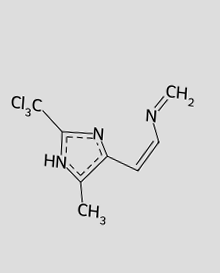 C=N/C=C\c1nc(C(Cl)(Cl)Cl)[nH]c1C